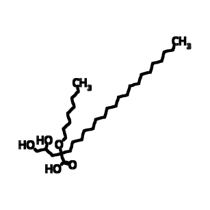 CCCCCCCCCCCCCCCCCCCCC(CC(O)CO)(OCCCCCCCC)C(=O)O